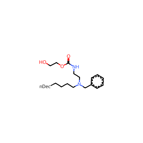 CCCCCCCCCCCCCCN(CCNC(=O)OCCO)Cc1ccccc1